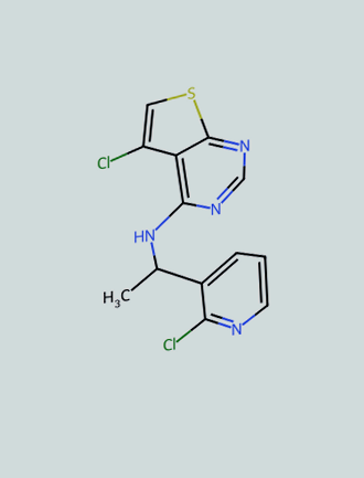 CC(Nc1ncnc2scc(Cl)c12)c1cccnc1Cl